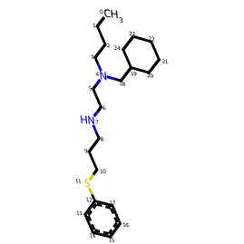 CCCCN(CCNCCCSc1ccccc1)CC1CCCCC1